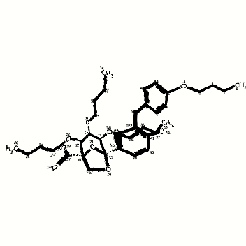 CCCCOc1ccc(Cc2cc([C@]34OC[C@](C(=O)O)(O3)[C@@H](OCCCC)[C@H](OCCCC)[C@H]4OCCCC)ccc2Cl)cc1